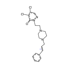 O=c1c(Cl)c(Cl)cnn1CCN1CCN(C/C=C/c2ccccc2)CC1